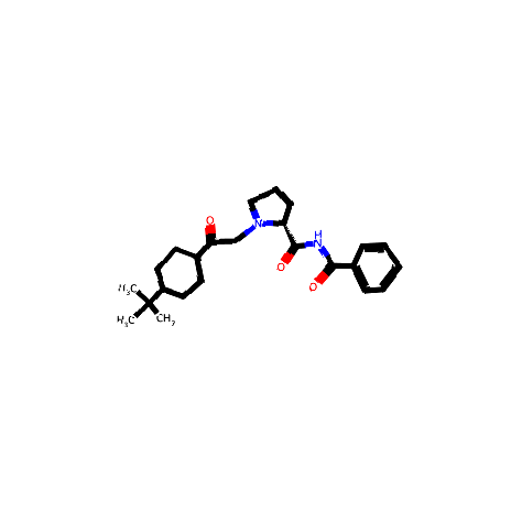 CC(C)(C)C1CCC(C(=O)CN2CCC[C@H]2C(=O)NC(=O)c2ccccc2)CC1